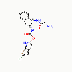 NCC(=O)N[C@@H]1c2ccccc2C[C@H]1NC(=O)Oc1cc2cc(Cl)sc2[nH]1